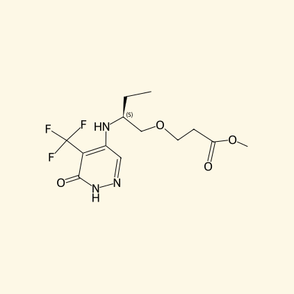 CC[C@@H](COCCC(=O)OC)Nc1cn[nH]c(=O)c1C(F)(F)F